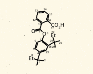 CCC(C)(C)c1ccc(OC(=O)c2ccccc2C(=O)O)c(C(C)(C)CC)c1